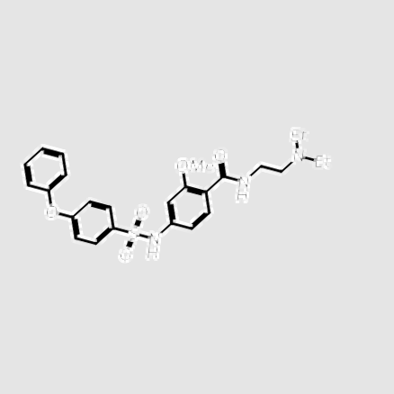 CCN(CC)CCNC(=O)c1ccc(NS(=O)(=O)c2ccc(Oc3ccccc3)cc2)cc1OC